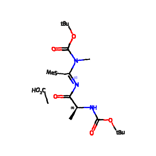 CC(=O)O.CS/C(=N\C(=O)[C@H](C)NC(=O)OC(C)(C)C)N(C)C(=O)OC(C)(C)C